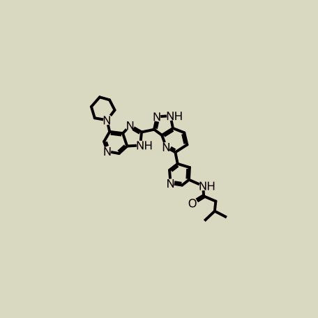 CC(C)CC(=O)Nc1cncc(-c2ccc3[nH]nc(-c4nc5c(N6CCCCC6)cncc5[nH]4)c3n2)c1